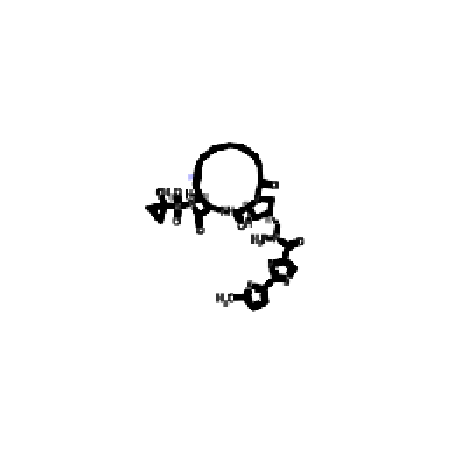 Cc1ccc(-c2nc(C(=O)N(P)C[C@@H]3C[C@H]4C(=O)NC5C(=O)N(S(=O)(=O)C6(C)CC6)[C@H]5/C=C\CCCCCCC(=O)N4C3)cs2)s1